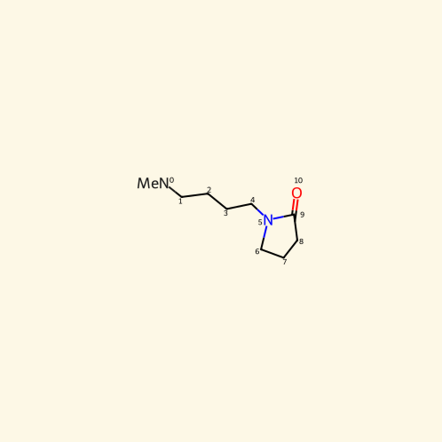 CNCCCCN1CCCC1=O